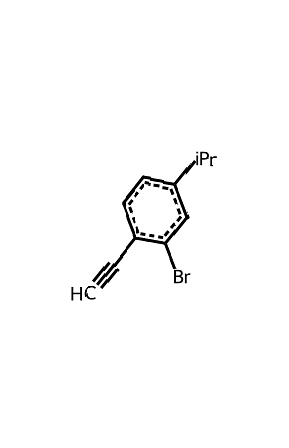 C#Cc1ccc(C(C)C)cc1Br